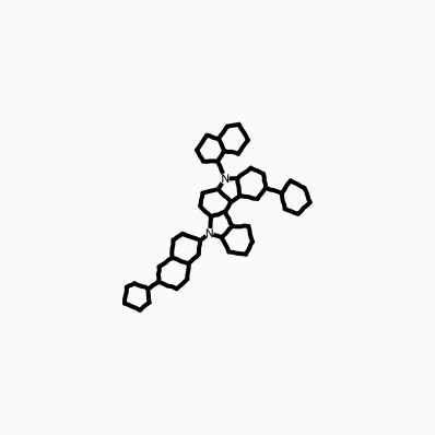 C1CCC(C2CCC3CC(N4C5CCCCC5C5C6C7CC(C8CCCCC8)CCC7N(C7CCCC8CCCCC87)C6CCC54)CCC3C2)CC1